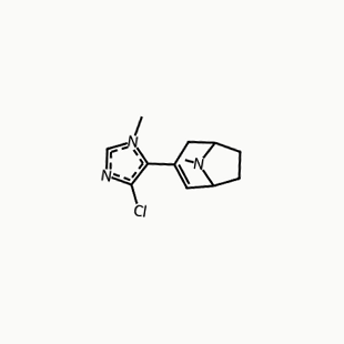 CN1C2C=C(c3c(Cl)ncn3C)CC1CC2